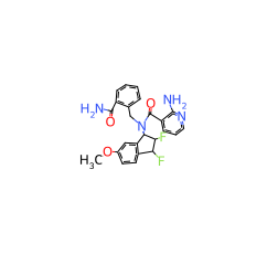 COc1ccc2c(c1)[C@@H](N(Cc1ccccc1C(N)=O)C(=O)c1cccnc1N)C(F)C2F